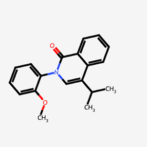 COc1ccccc1-n1cc(C(C)C)c2ccccc2c1=O